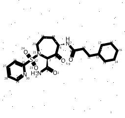 NC(=O)[C@@H]1C(=O)[C@@H](NC(=O)[CH]CC2CCCCC2)CCCN1S(=O)(=O)c1ccccn1